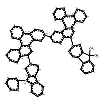 CC1(C)c2ccccc2-c2ccc(-c3cc4c5ccccc5c5ccccc5c4c4cc(-c5ccc6c7ccccc7c7c8ccccc8c(-c8ccc9c%10ccccc%10n(-c%10ccccc%10)c9c8)cc7c6c5)ccc34)cc21